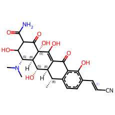 C[C@H]1c2ccc(/C=C/C#N)c(O)c2C(=O)C2=C(O)[C@]3(O)C(=O)C(C(N)=O)C(O)[C@@H](N(C)C)[C@@H]3[C@@H](O)[C@@H]21